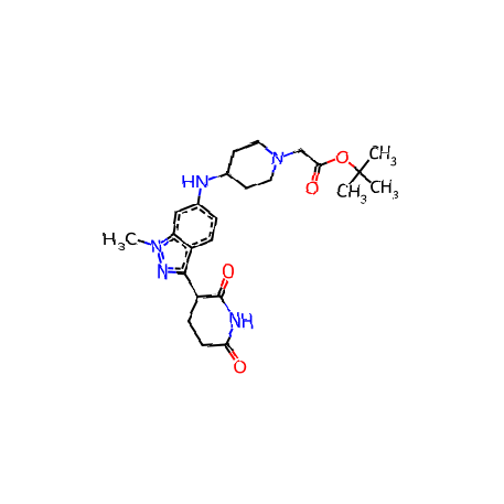 Cn1nc(C2CCC(=O)NC2=O)c2ccc(NC3CCN(CC(=O)OC(C)(C)C)CC3)cc21